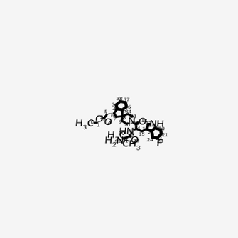 CCOC(=O)C[C@H]1CC2(CCN(C(=O)C(Cc3c[nH]c4ccc(F)cc34)NC(=O)C(C)(C)N)CC2)c2ccccc21